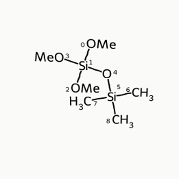 CO[Si](OC)(OC)O[Si](C)(C)C